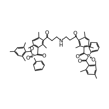 Cc1cc(C)c(C(=O)P(=O)(C(=O)c2c(C)cc(C)c(C(=O)CCNCCC(=O)c3c(C)cc(C)c(C(=O)P(=O)(C(=O)c4c(C)cc(C)cc4C)c4ccccc4)c3C)c2C)c2ccccc2)c(C)c1